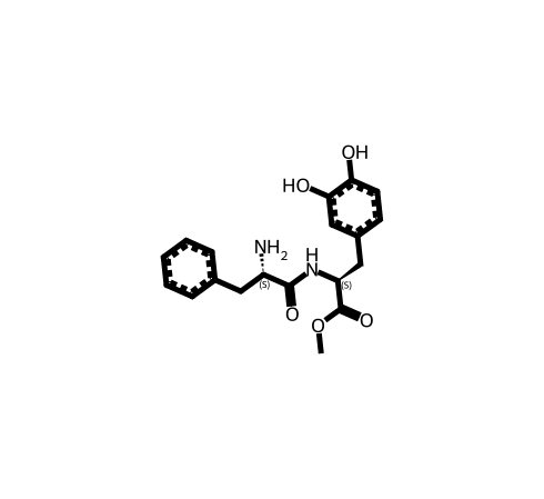 COC(=O)[C@H](Cc1ccc(O)c(O)c1)NC(=O)[C@@H](N)Cc1ccccc1